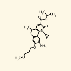 COCCCOc1cc2c(cc1N)-c1c(cc(C(=O)OC(C)C)c(=O)n1C1CC1)C(C)S2